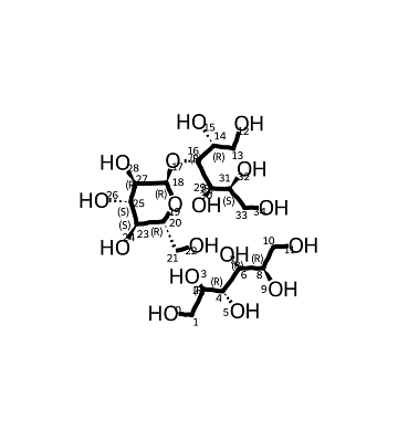 OC[C@@H](O)[C@@H](O)[C@H](O)[C@H](O)CO.OC[C@@H](O)[C@@H](O[C@H]1O[C@H](CO)[C@@H](O)[C@H](O)[C@H]1O)[C@H](O)[C@@H](O)CO